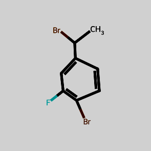 CC(Br)c1ccc(Br)c(F)c1